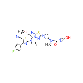 COCc1nc2sc(N3CC[C@@H](N(C)CC(=O)N4CC(O)C4)C3)nn2c1N(C)c1nc(-c2ccc(F)cc2)c(C#N)s1